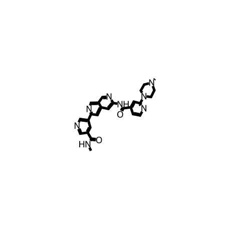 CNC(=O)c1cncc(-c2cc3cc(NC(=O)c4ccnc(N5CCN(C)CC5)c4)ncc3cn2)c1